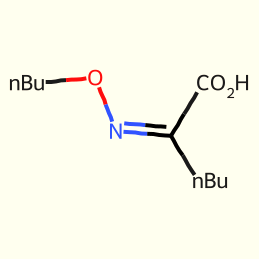 CCCCON=C(CCCC)C(=O)O